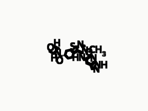 COc1nc2[nH]ncc2cc1Nc1ncnc2sc3c(c12)CC[C@H](C(=O)N1C[C@@H]2C[C@H]1CO2)C3